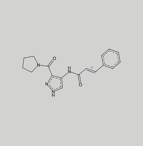 O=C(/C=C/c1ccccc1)Nc1c[nH]nc1C(=O)N1CCCC1